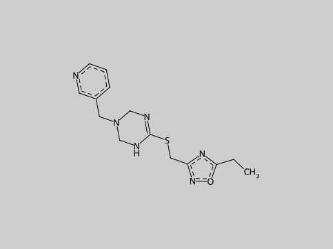 CCc1nc(CSC2=NCN(Cc3cccnc3)CN2)no1